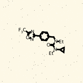 CCN(Cc1ccc(-c2noc(C(F)(F)F)n2)cc1)C(=O)N(CC)C1CC1